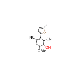 COc1cc(C#N)c(-c2ccc(C)s2)c(C#N)c1O